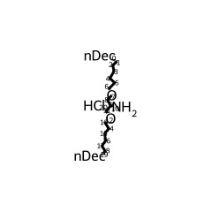 CCCCCCCCCCCCCCCCOCC(N)COCCCCCCCCCCCCCCCC.Cl